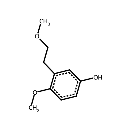 COCCc1cc(O)ccc1OC